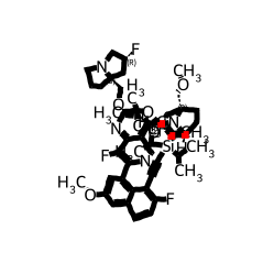 COC[C@@]12CC[C@@H](CN(c3nc(OC[C@@]45CCCN4C[C@H](F)C5)nc4c(F)c(-c5cc(OC)cc6ccc(F)c(C#C[Si](C(C)C)(C(C)C)C(C)C)c56)ncc34)C1)N2C(=O)OC(C)(C)C